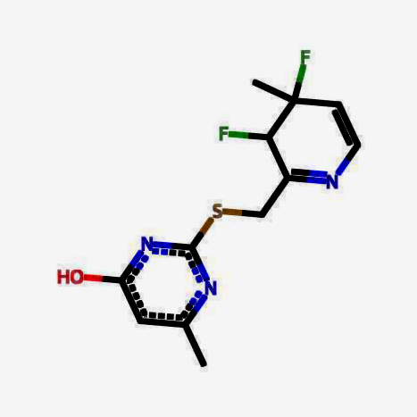 Cc1cc(O)nc(SCC2=NC=CC(C)(F)C2F)n1